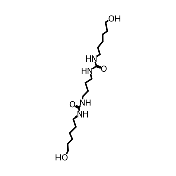 O=C(NCCCCCCO)NCCCCNC(=O)NCCCCCCO